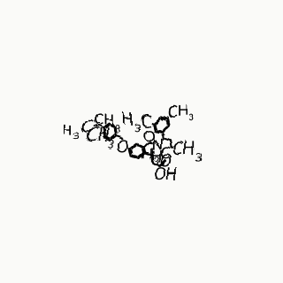 Cc1cc(C)cc(C(CC(C)C)NC(=O)c2cc(OCc3ccc(C(C)(C)C)cc3)ccc2CCC(=O)O)c1